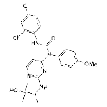 COc1ccc(N(C(=O)Nc2ccc(Cl)cc2Cl)c2ccnc(NC(C)C(C)(C)O)n2)cc1